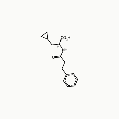 O=C(CCc1ccccc1)N[C@@H](CC1CC1)C(=O)O